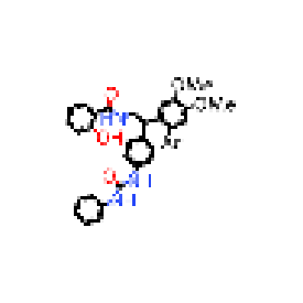 COc1cc(C(C)=O)c(C(CNC(=O)c2ccccc2O)c2ccc(NC(=O)Nc3ccccc3)cc2)cc1OC